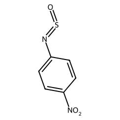 O=S=Nc1ccc([N+](=O)[O-])cc1